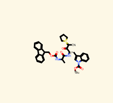 CC(NC(=O)OCC1c2ccccc2-c2ccccc21)C(=O)N[C@@H](Cc1cn(C(=O)OC(C)(C)C)c2ccccc12)C(=O)C(C#N)=S1CCCC1